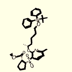 COC(=O)[C@H]1CCC[C@H]1S(=O)(=O)c1ccc(C)nc1O[C@H](C)CCCCO[Si](c1ccccc1)(c1ccccc1)C(C)(C)C